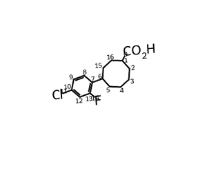 O=C(O)C1CCCCC(c2ccc(Cl)cc2F)CC1